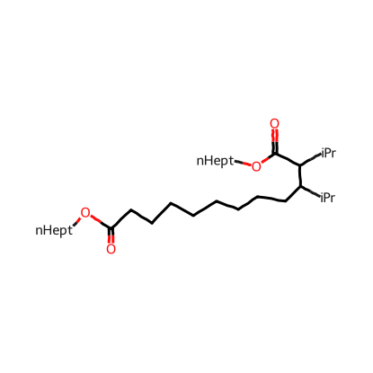 CCCCCCCOC(=O)CCCCCCCCC(C(C)C)C(C(=O)OCCCCCCC)C(C)C